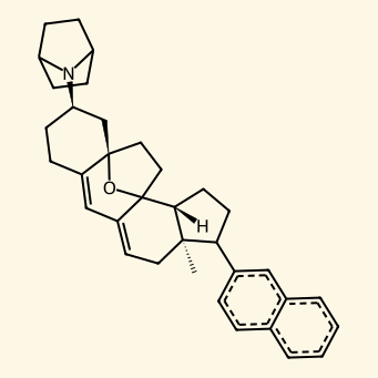 C[C@]12CC=C3C=C4CC[C@@H](N5C6CCC5CC6)C[C@]45CCC3(O5)[C@@H]1CCC2c1ccc2ccccc2c1